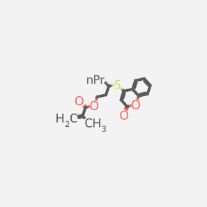 C=C(C)C(=O)OCCC(CCC)Sc1cc(=O)oc2ccccc12